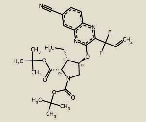 C=CC(F)(F)c1nc2ccc(C#N)cc2nc1O[C@H]1CN(C(=O)OC(C)(C)C)[C@H](C(=O)OC(C)(C)C)[C@@H]1CC